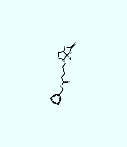 O=C(CCCC[C@@H]1SCC2OC(=O)O[C@@H]21)OCc1ccccc1